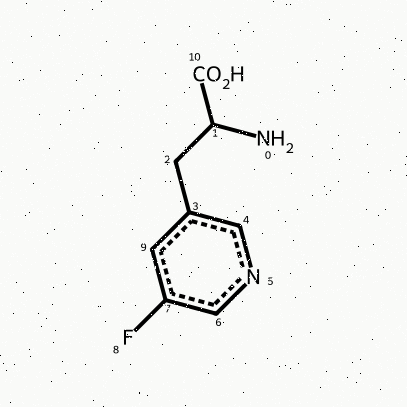 NC(Cc1cncc(F)c1)C(=O)O